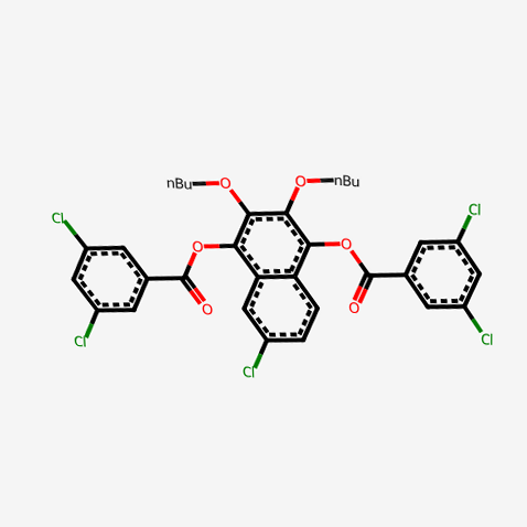 CCCCOc1c(OCCCC)c(OC(=O)c2cc(Cl)cc(Cl)c2)c2cc(Cl)ccc2c1OC(=O)c1cc(Cl)cc(Cl)c1